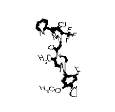 COc1cc(N2CCN(C(=O)Cn3nc(-c4ccccn4)c(Cl)c3C(F)(F)F)C(C)C2)c(F)cc1Cl